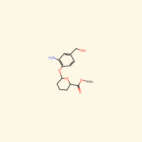 CC(=O)OOC(=O)C1CCCC(Oc2ccc(CO)cc2N)O1